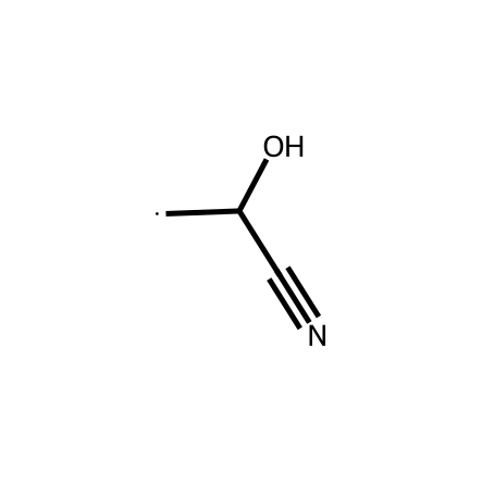 [CH2]C(O)C#N